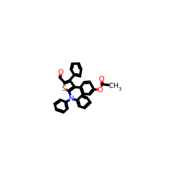 CC(=O)Oc1ccc(-c2c(N(c3ccccc3)c3ccccc3)sc(C=O)c2-c2ccccc2)cc1